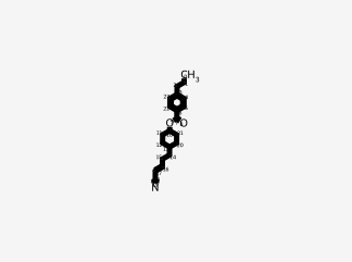 CCCc1ccc(C(=O)OC2CCC(CCC=CC#N)CC2)cc1